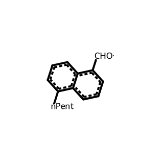 CCCCCc1cccc2c([C]=O)cccc12